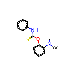 CC(=O)N(C)c1ccccc1OC(=S)Nc1ccccc1